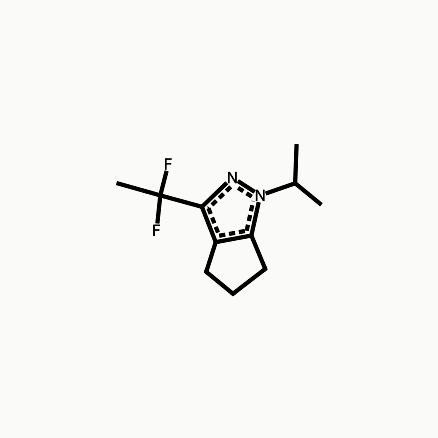 CC(C)n1nc(C(C)(F)F)c2c1CCC2